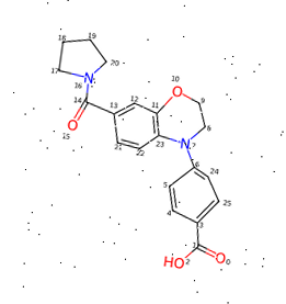 O=C(O)c1ccc(N2CCOc3cc(C(=O)N4CCCC4)ccc32)cc1